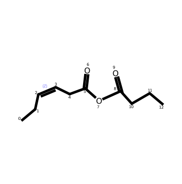 CC/C=C\CC(=O)OC(=O)CCC